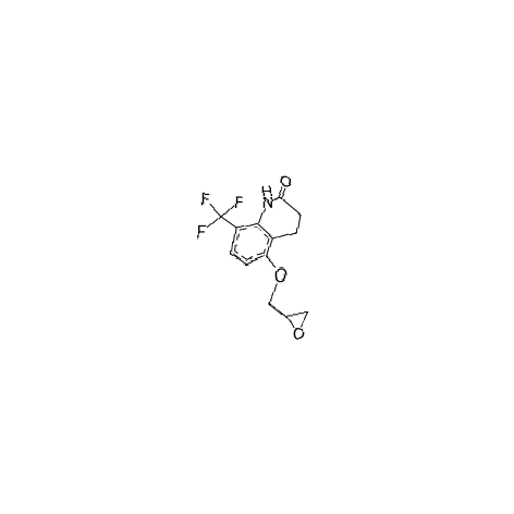 O=C1CCc2c(OCC3CO3)ccc(C(F)(F)F)c2N1